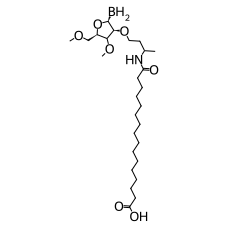 B[C@@H]1O[C@H](COC)C(OC)[C@@H]1OCCC(C)NC(=O)CCCCCCCCCCCCCCC(=O)O